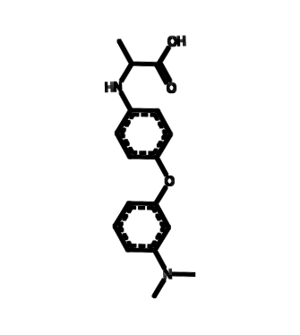 CC(Nc1ccc(Oc2cccc(N(C)C)c2)cc1)C(=O)O